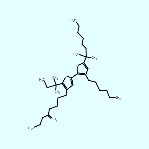 C=C(CCC)CCCCc1cc(-c2sc(C(C)(C)CCCCCC)cc2CCCCCC)sc1C(C)(C)CC